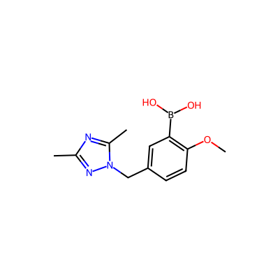 COc1ccc(Cn2nc(C)nc2C)cc1B(O)O